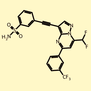 NS(=O)(=O)c1cccc(C#Cc2cnn3c(C(F)F)cc(-c4cccc(C(F)(F)F)c4)nc23)c1